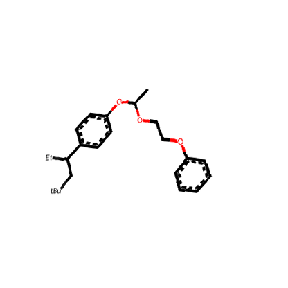 CCC(CC(C)(C)C)c1ccc(OC(C)OCCOc2ccccc2)cc1